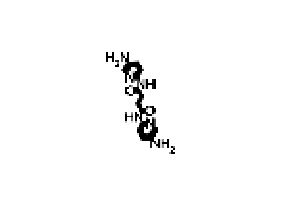 Nc1ccc(NC(=O)CCC(=O)Nc2ccc(N)cn2)nc1